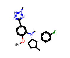 CC(C)Oc1ccc(-c2nnn(C)n2)cc1N(C)[C@H]1CCC(C)[C@H]1c1ccc(F)cc1